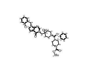 CC(C)(C)OC(=O)N1CC[C@@H](C(=O)N2CCC(O)(Cn3cnc4c(ccn4Cc4ccccc4Cl)c3=O)CC2)[C@H](c2ccccc2)C1